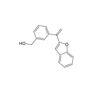 C=C(c1cccc(CO)c1)c1cc2ccccc2o1